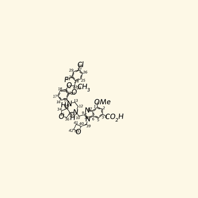 COc1cc(C(=O)O)cc2c1nc(CN1CCN(c3cccc4c3O[C@](C)(c3ccc(Cl)cc3F)O4)[C@H]3COC[C@H]31)n2C[C@@H]1CCO1